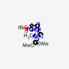 COc1ccc(Cn2c3nccc(-c4nc(N5CCN(C(=O)OC(C)(C)C)CC5)c5c(C6CCC6)cncc5n4)c3n3cc(C)nc23)c(OC)c1